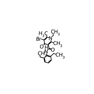 CCc1cccc(CC)c1NC(=O)c1c(C)n(CC)c(C)c(Br)c1=O